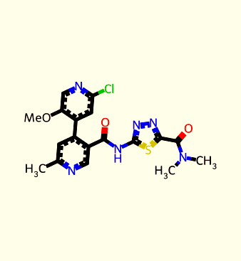 COc1cnc(Cl)cc1-c1cc(C)ncc1C(=O)Nc1nnc(C(=O)N(C)C)s1